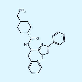 NC[C@H]1CC[C@H](C(=O)NC(Cc2ccccn2)c2nc(-c3ccccc3)c[nH]2)CC1